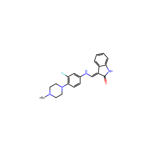 CCCCN1CCN(c2ccc(N/C=C3/C(=O)Nc4ccccc43)cc2F)CC1